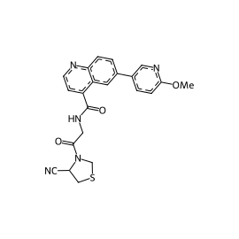 COc1ccc(-c2ccc3nccc(C(=O)NCC(=O)N4CSCC4C#N)c3c2)cn1